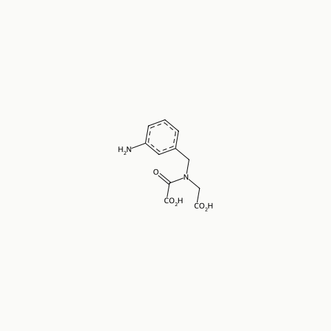 Nc1cccc(CN(CC(=O)O)C(=O)C(=O)O)c1